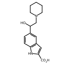 O=C(O)c1cc2cc(C(O)CN3CCCCC3)ccc2[nH]1